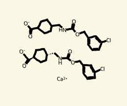 O=C(NCC1CCC(C(=O)[O-])CC1)OCc1cccc(Cl)c1.O=C(NC[C@H]1CC[C@H](C(=O)[O-])CC1)OCc1cccc(Cl)c1.[Ca+2]